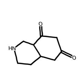 O=C1CC(=O)C2CNCCC2C1